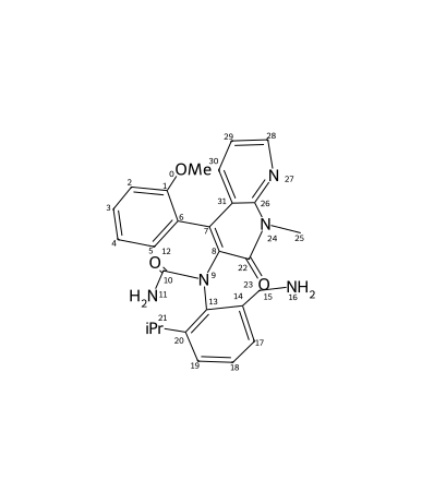 COc1ccccc1-c1c(N(C(N)=O)c2c(CN)cccc2C(C)C)c(=O)n(C)c2ncccc12